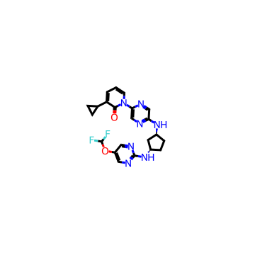 O=c1c(C2CC2)cccn1-c1cnc(N[C@H]2CC[C@H](Nc3ncc(OC(F)F)cn3)C2)cn1